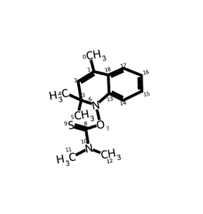 CC1=CC(C)(C)N(OC(=S)N(C)C)c2ccccc21